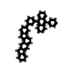 c1ccc(-c2c3ccccc3c(-c3cccc(-c4ccc5sc6c7cc8sc9ccccc9c8cc7ccc6c5c4)c3)c3ccccc23)cc1